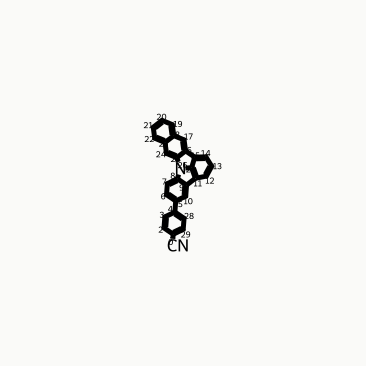 N#Cc1ccc(-c2ccc3c(c2)c2cccc4c5cc6ccccc6cc5n3c24)cc1